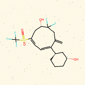 C=C1CC(F)(F)[C@@H](O)C/C(S(=O)(=O)C(F)(F)F)=C\C=C/1[C@@H]1CCC[C@@H](O)C1